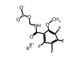 COc1c(F)c(F)c(F)c(F)c1C(=O)NCOB([O-])[O-].[K+].[K+]